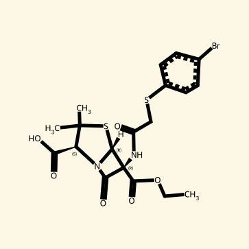 CCOC(=O)[C@]1(NC(=O)CSc2ccc(Br)cc2)C(=O)N2[C@@H](C(=O)O)C(C)(C)S[C@@H]21